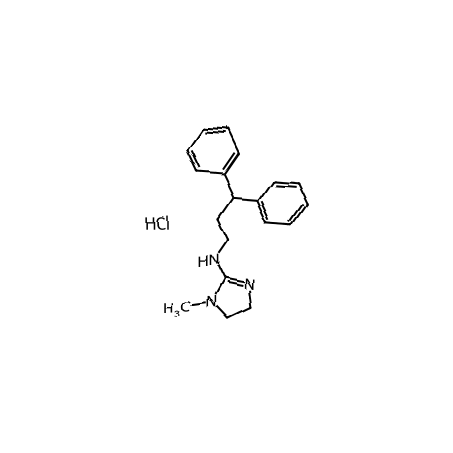 CN1CCN=C1NCCC(c1ccccc1)c1ccccc1.Cl